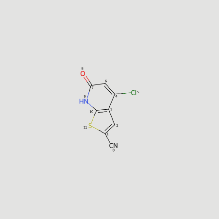 N#Cc1cc2c(Cl)cc(=O)[nH]c2s1